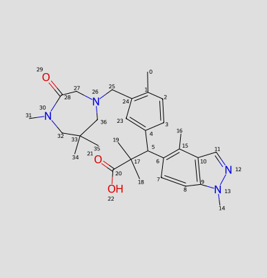 Cc1ccc(C(c2ccc3c(cnn3C)c2C)C(C)(C)C(=O)O)cc1CN1CC(=O)N(C)CC(C)(C)C1